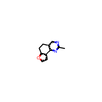 Cc1ncc2c(n1)-c1ccoc1CC2